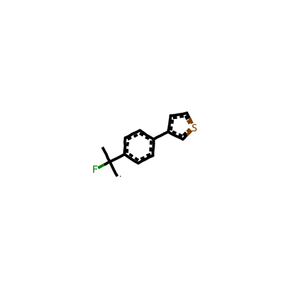 [CH2]C(C)(F)c1ccc(-c2ccsc2)cc1